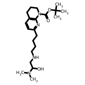 CN(C)C(O)CNCCCCc1ccc2c(n1)N(C(=O)OC(C)(C)C)CCC2